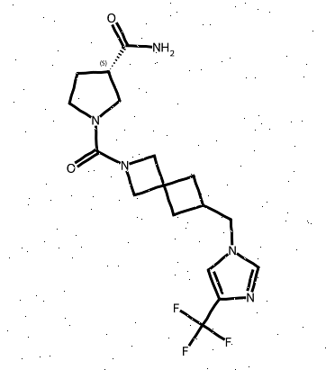 NC(=O)[C@H]1CCN(C(=O)N2CC3(CC(Cn4cnc(C(F)(F)F)c4)C3)C2)C1